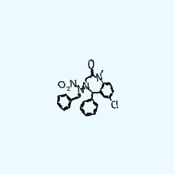 CN1C(=O)CN([N+](=Cc2ccccc2)[N+](=O)[O-])C(c2ccccc2)c2cc(Cl)ccc21